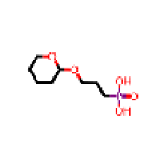 O=P(O)(O)CCCOC1CCCCO1